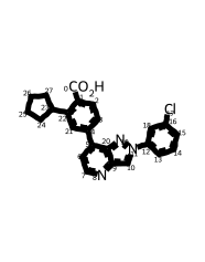 O=C(O)c1ccc(-c2ccnc3cn(-c4cccc(Cl)c4)nc23)cc1C1CCCC1